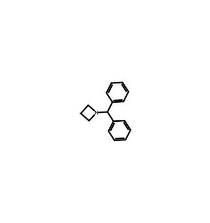 [CH]1CN(C(c2ccccc2)c2ccccc2)C1